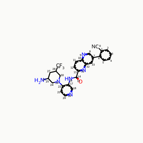 N#Cc1ccccc1-c1cnc2ccc(C(=O)Nc3cnccc3N3CC(N)CC(C(F)(F)F)C3)nc2c1